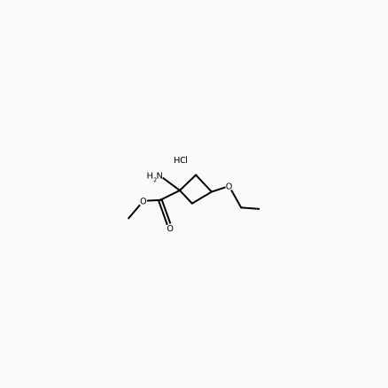 CCOC1CC(N)(C(=O)OC)C1.Cl